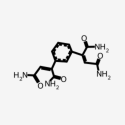 NC(=O)C=C(C(N)=O)c1cccc(C(=CC(N)=O)C(N)=O)c1